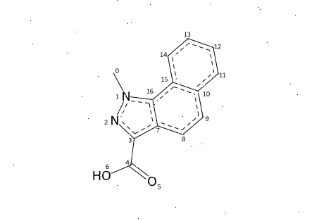 Cn1nc(C(=O)O)c2ccc3ccccc3c21